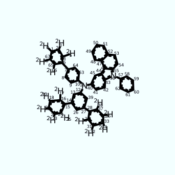 [2H]c1c([2H])c([2H])c(-c2ccc(N(c3cc(-c4c([2H])c([2H])c([2H])c([2H])c4[2H])cc(-c4c([2H])c([2H])c([2H])c([2H])c4[2H])c3)c3ccc4c(c3)c3c5ccccc5ccc3n4-c3ccccc3)cc2)c([2H])c1[2H]